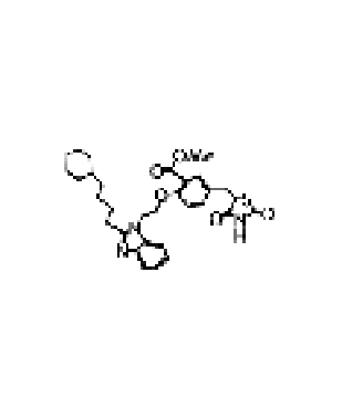 COC(=O)c1cc(CC2SC(=O)NC2=O)ccc1OCCn1c(CCCCC2CCCCC2)nc2ccccc21